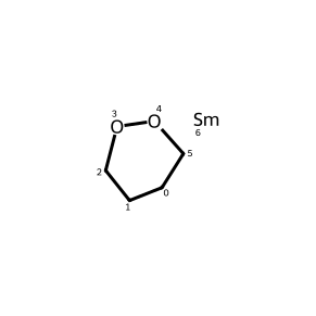 C1CCOOC1.[Sm]